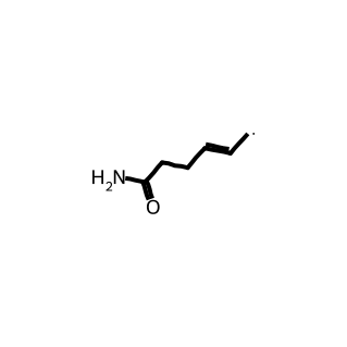 [CH2]C=CCCC(N)=O